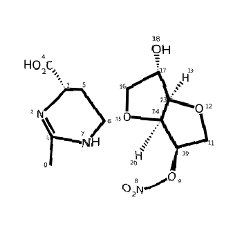 CC1=N[C@H](C(=O)O)CCN1.O=[N+]([O-])O[C@@H]1CO[C@H]2[C@@H]1OC[C@@H]2O